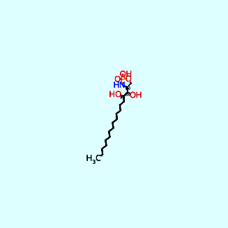 CCCCCCCCCCCCCC[C@@H](O)[C@@H](O)[C@@H]1COP(=O)(O)N1